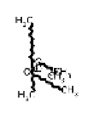 CCCCCCCCCCCC(COC(=O)C(CCCCC)CCCCCCCCC)OC(=O)CCCN(C)C